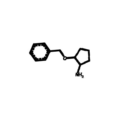 NC1CCCC1OCc1ccccc1